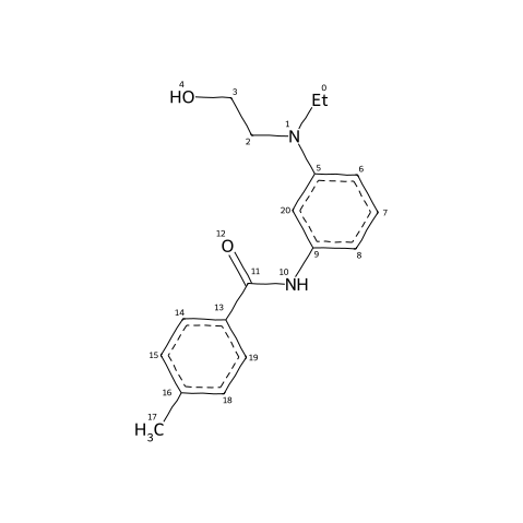 CCN(CCO)c1cccc(NC(=O)c2ccc(C)cc2)c1